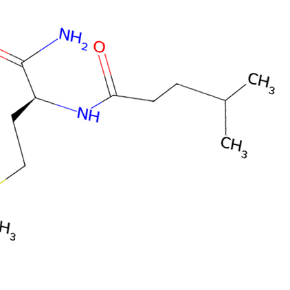 CSCC[C@H](NC(=O)CCC(C)C)C(N)=O